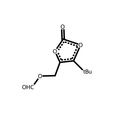 CC(C)(C)c1oc(=O)oc1COC=O